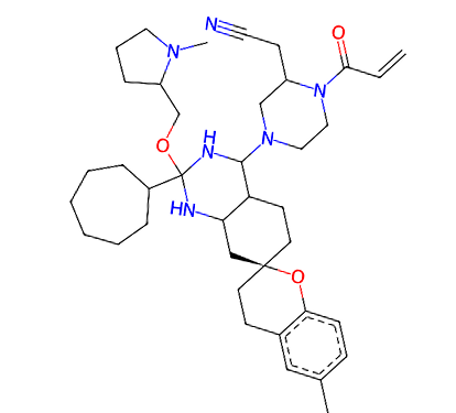 C=CC(=O)N1CCN(C2NC(OCC3CCCN3C)(C3CCCCCC3)NC3C[C@@]4(CCc5cc(C)ccc5O4)CCC32)CC1CC#N